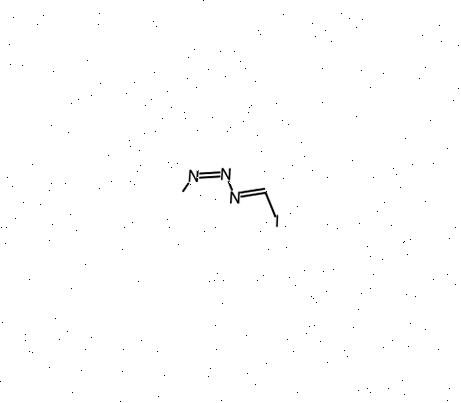 C/N=N\N=C\I